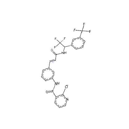 O=C(/C=C/c1cccc(NC(=O)c2cccnc2Cl)c1)NC(c1cccc(C(F)(F)F)c1)C(F)(F)F